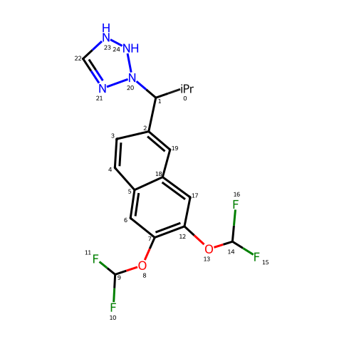 CC(C)C(c1ccc2cc(OC(F)F)c(OC(F)F)cc2c1)N1N=CNN1